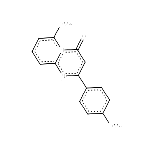 COc1ccc(-c2cc(=O)n3c(OC)cccc3n2)cc1